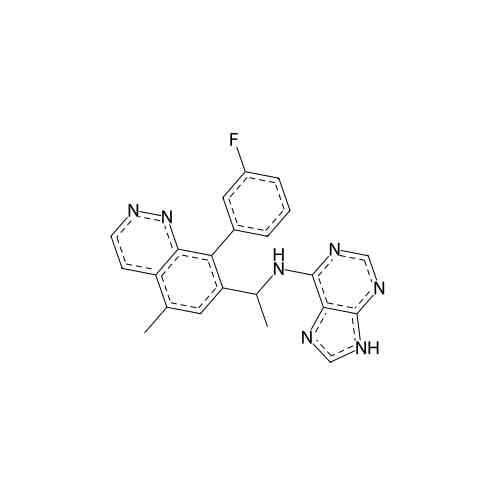 Cc1cc(C(C)Nc2ncnc3[nH]cnc23)c(-c2cccc(F)c2)c2nnccc12